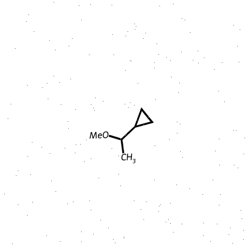 [C]OC(C)C1CC1